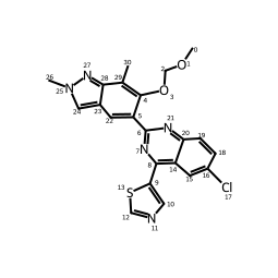 COCOc1c(-c2nc(-c3cncs3)c3cc(Cl)ccc3n2)cc2cn(C)nc2c1C